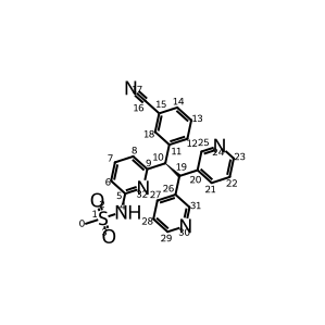 CS(=O)(=O)Nc1cccc([C@@H](c2cccc(C#N)c2)C(c2cccnc2)c2cccnc2)n1